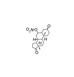 C[C@]12CCC(=O)CC1[C@H](O[N+](=O)[O-])C[C@@H]1[C@@H]2CC[C@]2(C)C(=O)CC[C@@H]12